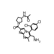 CC(=O)N[C@@H]1CCN(C(=O)c2cn3c(-c4ccc(Cl)cc4Cl)c(CN)c(C)nc3n2)C1